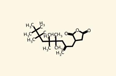 C=C(CC1CC(=O)OC1=O)CC(C)(C)C(C)(C)CC(C)(C)C(C)(C)C